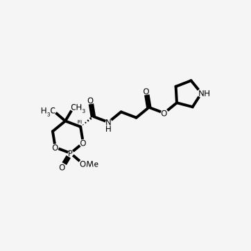 [CH2]OP1(=O)OCC(C)(C)[C@H](C(=O)NCCC(=O)OC2CCNC2)O1